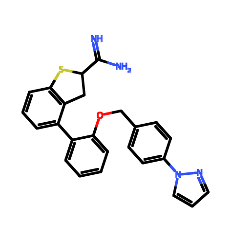 N=C(N)C1Cc2c(cccc2-c2ccccc2OCc2ccc(-n3cccn3)cc2)S1